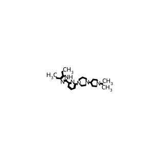 CCc1nc(-c2cccc(N3CCCN(C4CCN(C(C)C)CC4)CC3)n2)[nH]c1CC